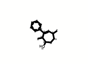 CC1C=C(c2ccccc2)C(C)C(O)CC1